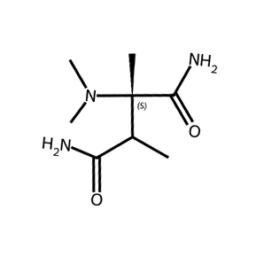 CC(C(N)=O)[C@@](C)(C(N)=O)N(C)C